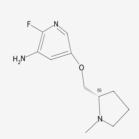 CN1CCC[C@H]1COc1cnc(F)c(N)c1